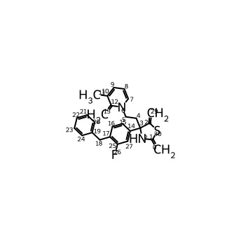 C=C1NC(CCN2C=CC=C(C)C2=C)(c2ccc(Cc3ccccc3)c(F)c2)C(=C)S1